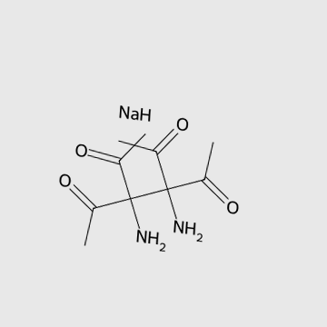 CC(=O)C(N)(C(C)=O)C(N)(C(C)=O)C(C)=O.[NaH]